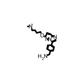 CN(C)CCCCOc1ccc2ncc(-c3ccc(CN)cc3)n2n1